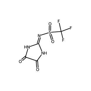 O=C1NC(=NS(=O)(=O)C(F)(F)F)NC1=O